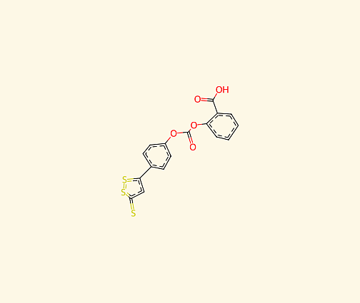 O=C(Oc1ccc(-c2cc(=S)ss2)cc1)Oc1ccccc1C(=O)O